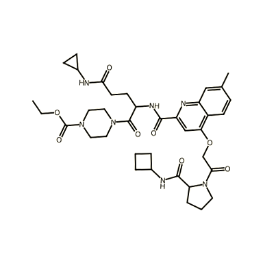 CCOC(=O)N1CCN(C(=O)C(CCC(=O)NC2CC2)NC(=O)c2cc(OCC(=O)N3CCCC3C(=O)NC3CCC3)c3ccc(C)cc3n2)CC1